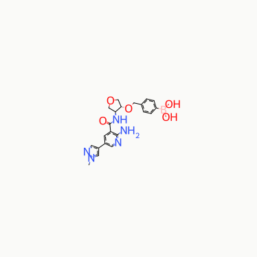 Cn1cc(-c2cnc(N)c(C(=O)N[C@H]3COC[C@@H]3OCc3ccc(B(O)O)cc3)c2)cn1